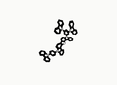 c1ccc2c(c1)c1ccccc1n2-c1ccc(-n2c3ccccc3c3c4oc5c(ccc6c5c5ccccc5n6-c5cc(-n6c7ccccc7c7ccccc76)cc(-n6c7ccccc7c7ccccc76)c5)c4ccc32)cc1